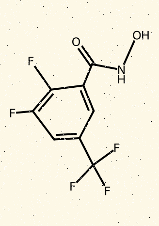 O=C(NO)c1cc(C(F)(F)F)cc(F)c1F